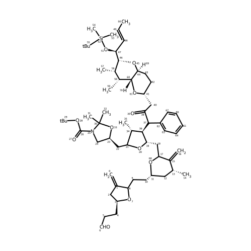 C=C1C[C@H](CCC=O)OC1CC[C@H]1C[C@@H](C)C(=C)C(C[C@@H]2OC(C[C@H]3CN(C(=O)OC(C)(C)C)C(C)(C)O3)[C@H](C)[C@H]2C(C(=O)C[C@H]2CC[C@@H]3O[C@@H]([C@H](/C=C/C)O[Si](C)(C)C(C)(C)C)[C@@H](C)[C@@H](C)[C@H]3O2)c2ccccc2)O1